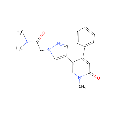 CN(C)C(=O)Cn1cc(-c2cn(C)c(=O)cc2-c2ccccc2)cn1